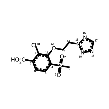 CS(=O)(=O)c1ccc(C(=O)O)c(Cl)c1OCCn1ncnn1